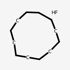 C1CCCCCCCCCCC1.F